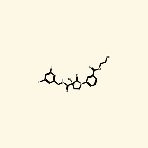 O=C(NCCO)c1cccc(N2CC[C@](O)(C(=O)NCc3cc(F)cc(Cl)c3)C2=O)c1